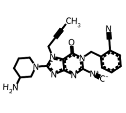 [C-]#[N+]c1nc2nc(N3CCCC(N)C3)n(CC#CC)c2c(=O)n1Cc1ccccc1C#N